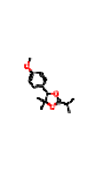 COc1ccc(C2OB(C(C)C)OC2(C)C)cc1